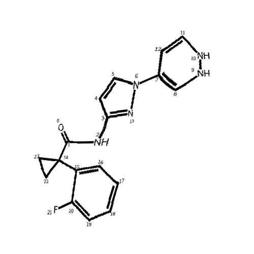 O=C(Nc1ccn(C2=CNNC=C2)n1)C1(c2ccccc2F)CC1